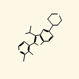 Cc1nccc(-c2[nH]c3ccc(C4CCNCC4)cc3c2C(C)C)c1Cl